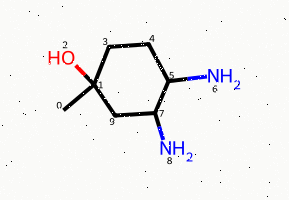 CC1(O)CCC(N)C(N)C1